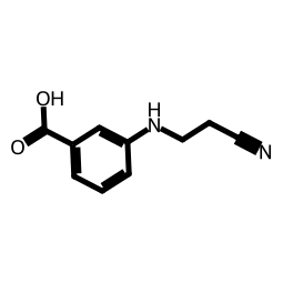 N#CCCNc1cccc(C(=O)O)c1